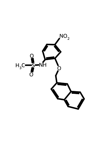 CS(=O)(=O)Nc1ccc([N+](=O)[O-])cc1OCc1ccc2ccccc2c1